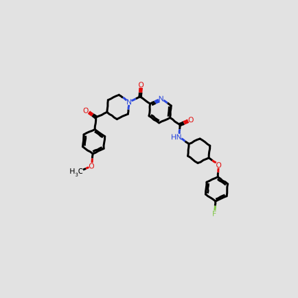 COc1ccc(C(=O)C2CCN(C(=O)c3ccc(C(=O)NC4CCC(Oc5ccc(F)cc5)CC4)cn3)CC2)cc1